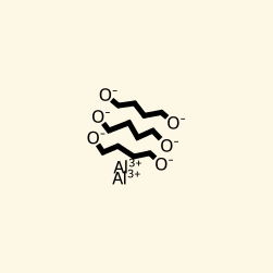 [Al+3].[Al+3].[O-]CCCC[O-].[O-]CCCC[O-].[O-]CCCC[O-]